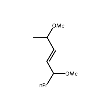 C[CH]CC(C=CC(C)OC)OC